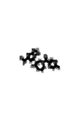 Cc1cnc(C(=O)N2CCC[C@@H](C)[C@H](c3cc(C(F)F)nc4ncnn34)C2)cn1